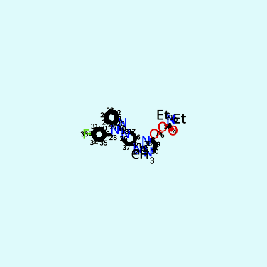 CCN(CC)C(=O)OCOc1ccnc(N(C)C2CCN(c3nc4ccccc4n3Cc3ccc(F)cc3)CC2)n1